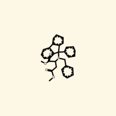 COC(=O)CC(C(=O)OC)N(Cc1ccccc1)C1(c2ccccc2)c2ccccc2-c2ccccc21